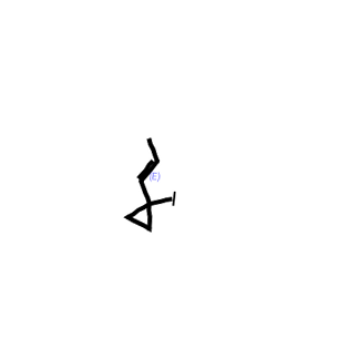 C/C=C/C1(I)CC1